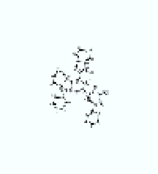 Clc1nc(-c2ccccc2)nc(-c2cc3c(c4ccccc4n3-c3ccccc3)c3c2ccc2c4ccccc4oc23)n1